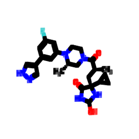 C[C@@H](C[C@@]1(C2CC2)NC(O)NC1=O)C(=O)N1CCN(c2cc(F)cc(-c3cn[nH]c3)c2)[C@@H](C)C1